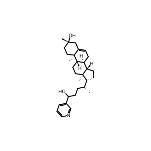 C[C@H](CCC(O)c1cccnc1)[C@H]1CC[C@H]2[C@@H]3CC=C4C[C@@](C)(O)CC[C@]4(C)[C@H]3CC[C@]12C